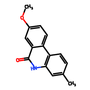 COc1ccc2c(c1)c(=O)[nH]c1cc(C)ccc12